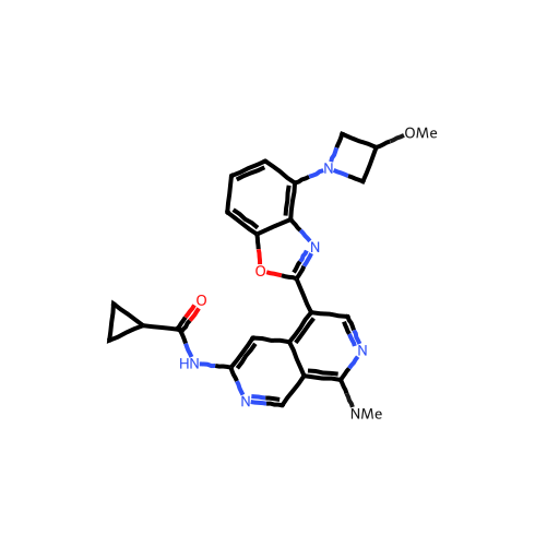 CNc1ncc(-c2nc3c(N4CC(OC)C4)cccc3o2)c2cc(NC(=O)C3CC3)ncc12